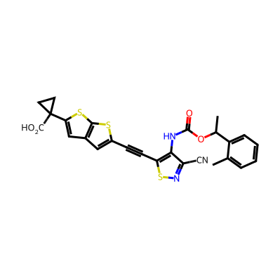 Cc1ccccc1C(C)OC(=O)Nc1c(C#N)nsc1C#Cc1cc2cc(C3(C(=O)O)CC3)sc2s1